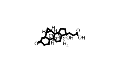 C[C@]12CCC(=O)C=C1[C@@H]1C[C@@H]1[C@@H]1[C@@H]2CC[C@@]2(C)[C@H]1CC[C@]2(O)CCC(=O)O